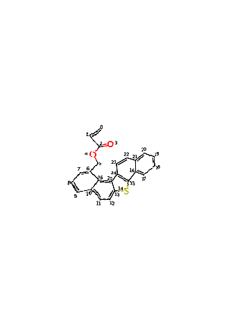 C=CC(=O)OCc1cccc2ccc3sc4c5ccccc5ccc4c3c12